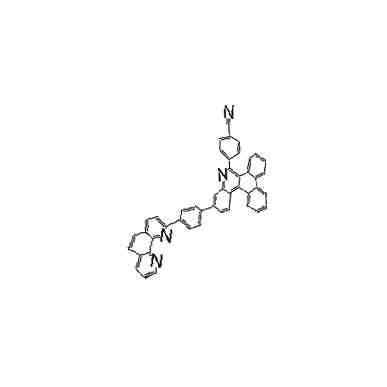 N#Cc1ccc(-c2nc3cc(-c4ccc(-c5ccc6ccc7cccnc7c6n5)cc4)ccc3c3c4ccccc4c4ccccc4c23)cc1